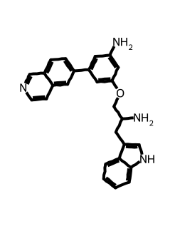 Nc1cc(OCC(N)Cc2c[nH]c3ccccc23)cc(-c2ccc3cnccc3c2)c1